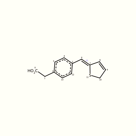 O=C(O)Cc1ccc(/C=C2/C=CCS2)cc1